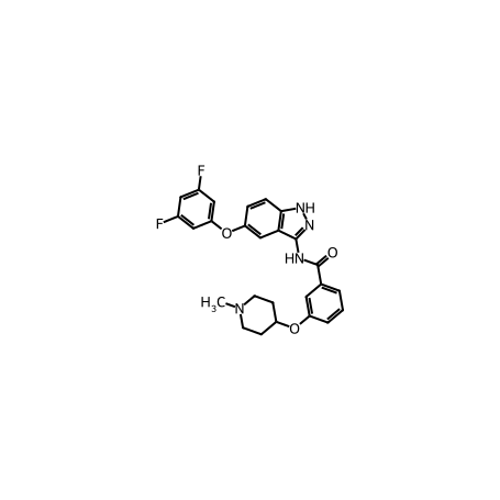 CN1CCC(Oc2cccc(C(=O)Nc3n[nH]c4ccc(Oc5cc(F)cc(F)c5)cc34)c2)CC1